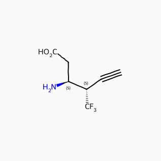 C#C[C@@H]([C@@H](N)CC(=O)O)C(F)(F)F